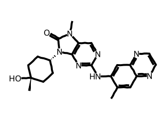 Cc1cc2nccnc2cc1Nc1ncc2c(n1)n([C@H]1CC[C@@](C)(O)CC1)c(=O)n2C